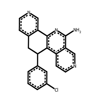 Nc1nc2c(c3ccncc13)C(c1cccc(Cl)c1)Cc1ccncc1-2